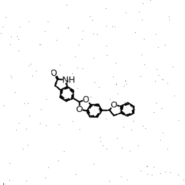 O=C1Cc2ccc(C3Oc4ccc(C5Cc6ccccc6O5)cc4O3)cc2N1